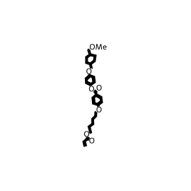 C=CC(=O)OCCCCCCOc1ccc(C(=O)Oc2ccc(OCC3CCC(COC)CC3)cc2)cc1